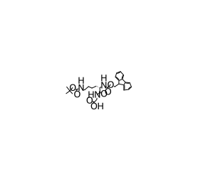 CC(C)(C)OC(=O)NCCCC[C@H](NC(=O)OCC1c2ccccc2-c2ccccc21)C(=O)NCC(=O)O